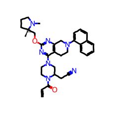 C=CC(=O)N1CCN(c2nc(OC[C@]3(C)CCCN3C)nc3c2CCN(c2cccc4ccccc24)C3)CC1CC#N